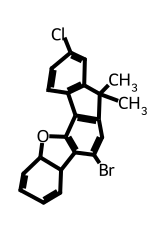 CC1(C)c2cc(Cl)ccc2-c2c1cc(Br)c1c2OC2C=CC=CC12